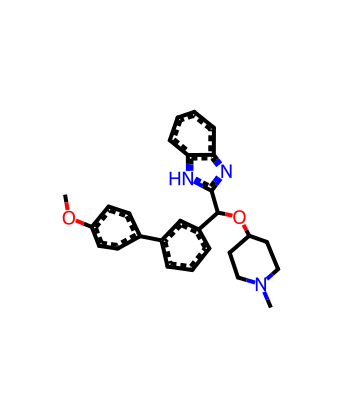 COc1ccc(-c2cccc(C(OC3CCN(C)CC3)c3nc4ccccc4[nH]3)c2)cc1